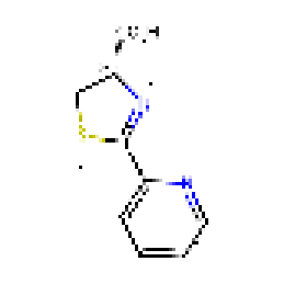 O=C(O)[C@H]1CSC(c2ccccn2)=N1